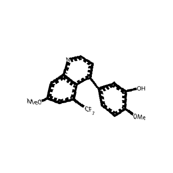 COc1cc(C(F)(F)F)c2c(-c3ccc(OC)c(O)c3)ccnc2c1